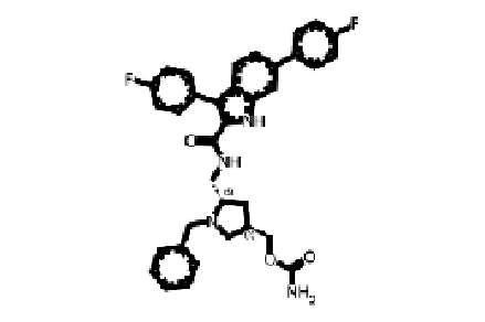 NC(=O)OC[C@@H]1C[C@@H](CNC(=O)c2[nH]c3cc(-c4ccc(F)cc4)ccc3c2-c2ccc(F)cc2)N(Cc2ccccc2)C1